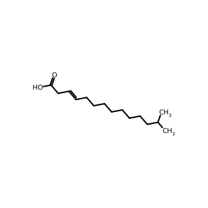 CC(C)CCCCCCCCC=CCC(=O)O